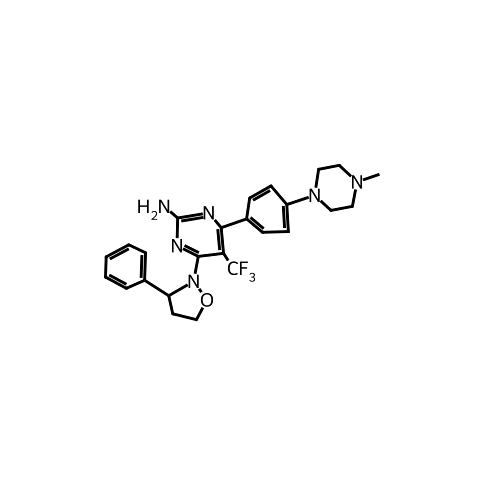 CN1CCN(c2ccc(-c3nc(N)nc(N4OCCC4c4ccccc4)c3C(F)(F)F)cc2)CC1